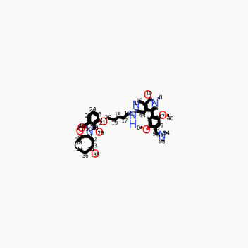 COc1cc(-c2cn(C)c(=O)c3cnc(NCCCCCOc4cccc5c4C(=O)N(C4CCC(=O)CCCCC4=O)C5=O)cc23)c(OC)cc1CN(C)C